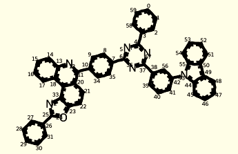 c1ccc(-c2nc(-c3ccc(-c4nc5ccccc5c5c4ccc4oc(-c6ccccc6)nc45)cc3)nc(-c3cccc(-n4c5ccccc5c5ccccc54)c3)n2)cc1